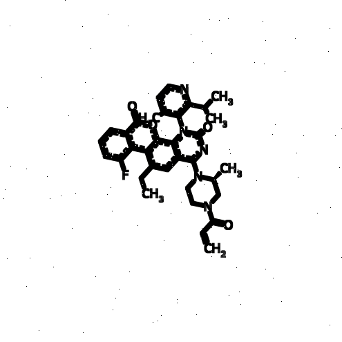 C=CC(=O)N1CCN(c2nc(=O)n(-c3c(C)ccnc3C(C)C)c3c2cc(CC)c2c3oc(=O)c3cccc(F)c32)[C@@H](C)C1